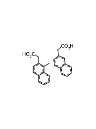 Cc1c(CC(=O)O)ccc2ccccc12.O=C(O)Cc1ccc2ccccc2c1